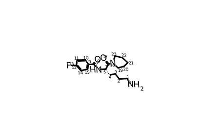 NCCCC[C@H](NC(=O)c1ccc(F)cc1)C(=O)N1CCCCC1